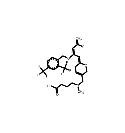 C=C(F)/C=C(\C=C1/CC=C(CN(C)CCCC(=O)O)CO1)OCc1ccc(C(F)(F)F)cc1C(F)(F)F